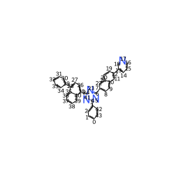 c1ccc(-c2nc(-c3ccc4cc(-c5cccnc5)ccc4c3)nc(-c3ccc(-c4ccccc4)c4ccccc34)n2)cc1